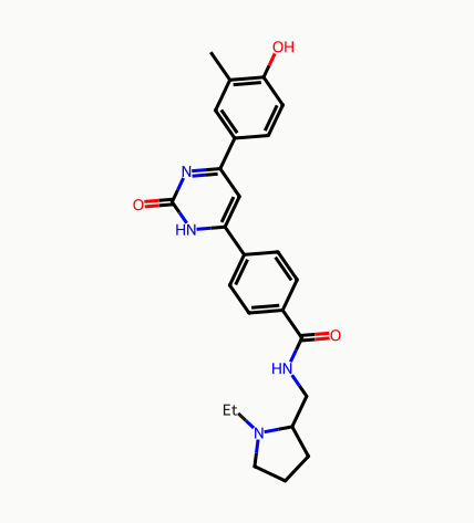 CCN1CCCC1CNC(=O)c1ccc(-c2cc(-c3ccc(O)c(C)c3)nc(=O)[nH]2)cc1